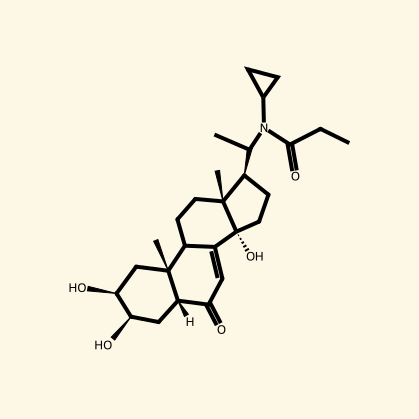 CCC(=O)N(C1CC1)C(C)[C@H]1CC[C@@]2(O)C3=CC(=O)[C@@H]4C[C@@H](O)[C@@H](O)C[C@]4(C)C3CC[C@]12C